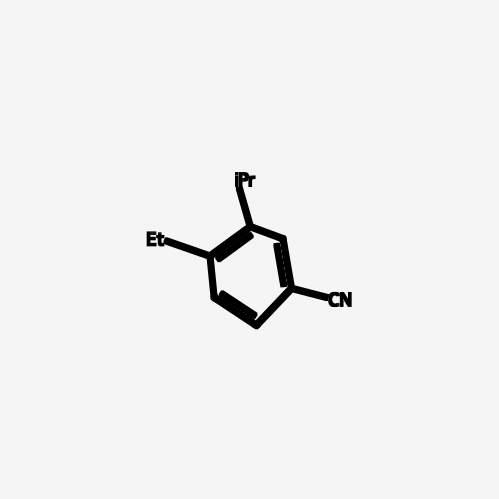 [CH2]C(C)c1cc(C#N)ccc1CC